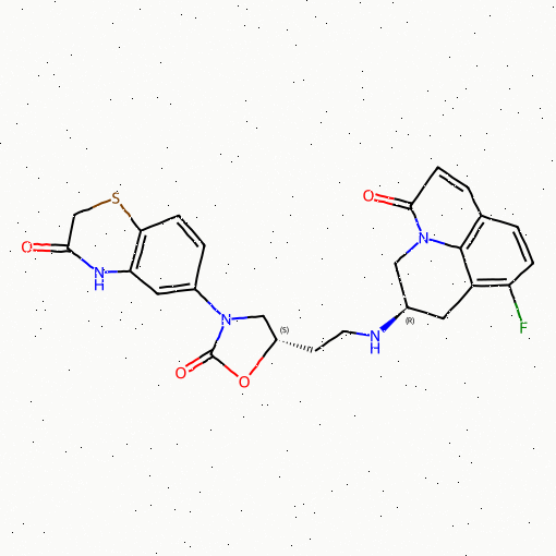 O=C1CSc2ccc(N3C[C@H](CCN[C@@H]4Cc5c(F)ccc6ccc(=O)n(c56)C4)OC3=O)cc2N1